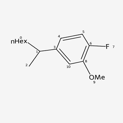 CCCCCCC(C)c1ccc(F)c(OC)c1